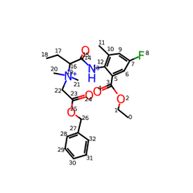 CCOC(=O)c1cc(F)cc(C)c1NC(=O)C(CC)[N+](C)(C)CC(=O)OCc1ccccc1